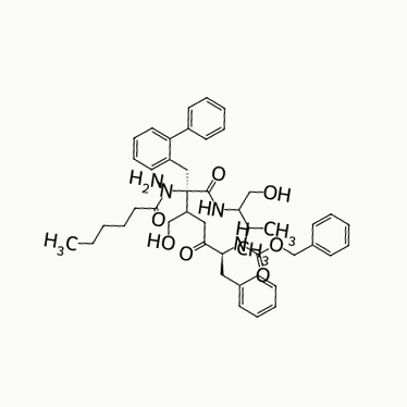 CCCCCC(=O)N(N)[C@@](Cc1ccccc1-c1ccccc1)(C(=O)NC(CO)C(C)C)C(CO)CC(=O)[C@H](Cc1ccccc1)NC(=O)OCc1ccccc1